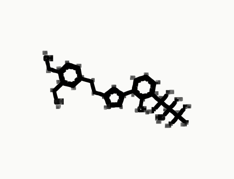 Cc1c(-c2csc(CCc3ccc(CO)c(CO)c3)c2)cccc1C(F)(F)C(O)(F)C(F)(F)F